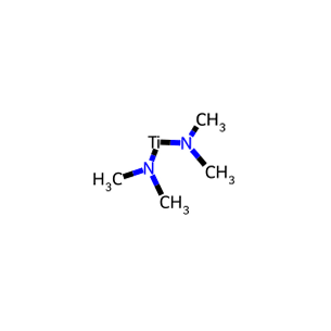 C[N](C)[Ti][N](C)C